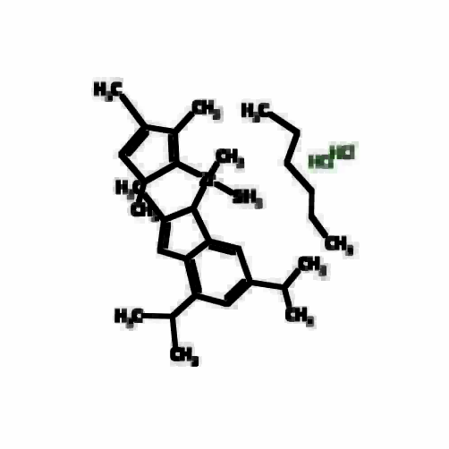 CC1=CC(C)[C]([Zr]([CH3])([SiH3])[CH]2C(C)=Cc3c(C(C)C)cc(C(C)C)cc32)=C1C.CCCCCC.Cl.Cl